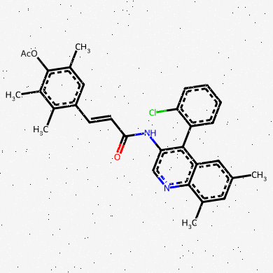 CC(=O)Oc1c(C)cc(/C=C/C(=O)Nc2cnc3c(C)cc(C)cc3c2-c2ccccc2Cl)c(C)c1C